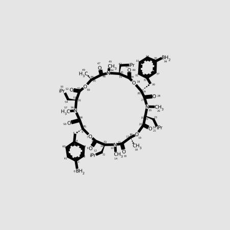 Bc1ccc(C[C@H]2OC(=O)[C@H](CC(C)C)N(C)C(=O)[C@@H](C)OC(=O)[C@H](CC(C)C)N(C)C(=O)[C@@H](Cc3cccc(B)c3)OC(=O)[C@H](CC(C)C)N(C)C(=O)[C@@H](C)OC(=O)[C@H](CC(C)C)N(C)C2=O)cc1